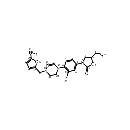 O=C1OC(CO)CN1c1ccc(N2C=NN(Cc3ccc([N+](=O)[O-])o3)CC2)c(F)c1